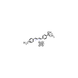 CN(C)c1ccc(/C=C/C=C/c2cc[n+](C)cc2)cc1.[O-][Cl+3]([O-])([O-])[O-]